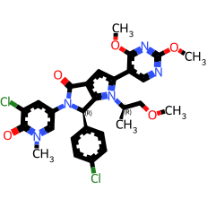 COC[C@@H](C)n1c(-c2cnc(OC)nc2OC)cc2c1[C@@H](c1ccc(Cl)cc1)N(c1cc(Cl)c(=O)n(C)c1)C2=O